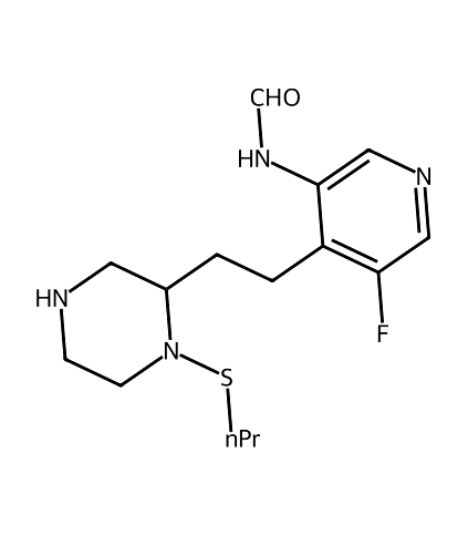 CCCSN1CCNCC1CCc1c(F)cncc1NC=O